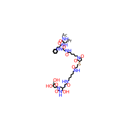 CC(=O)CNC(=O)[C@@H](CC(C)C)NC(=O)C(Cc1ccccc1)NC(=O)CNC(=O)CCCCCN1C(=O)CC(SCCC(=O)NCCCCCCNC(=O)/C=C/C2CN([C@H]3CC(O)[C@@H](CO)O3)C(=O)NC2O)C1=O